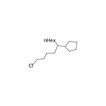 CCCCCCC(CCCCCl)C1CCCC1